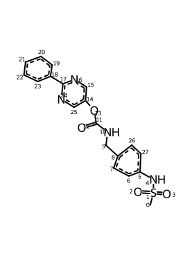 CS(=O)(=O)Nc1ccc(CNC(=O)Oc2cnc(-c3ccccc3)nc2)cc1